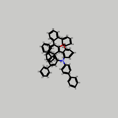 c1ccc(-c2ccc(N(c3cc(-c4ccccc4)cc(-c4ccccc4)c3)c3cccc4oc5c(-c6ccccc6-c6ccccc6)cc6ccccc6c5c34)cc2)cc1